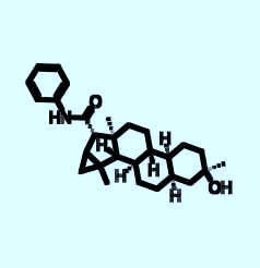 CC12CC1[C@H](C(=O)Nc1ccccc1)[C@@]1(C)CC[C@H]3[C@@H](CC[C@@H]4C[C@](C)(O)CC[C@@H]43)[C@H]21